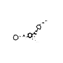 CC(C)OC(=O)NC1CCC(c2ncc(-c3ccc(NC(=O)OC[C@@H]4CCCCC[C@@H]4C)cc3S(=O)(=O)NC(C)(C)C)s2)CC1